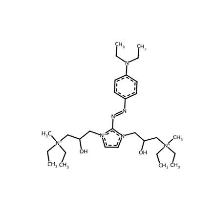 CCN(CC)c1ccc(N=Nc2n(CC(O)C[N+](C)(CC)CC)cc[n+]2CC(O)C[N+](C)(CC)CC)cc1